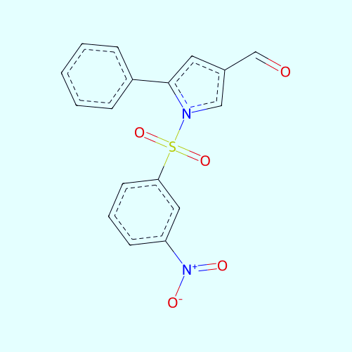 O=Cc1cc(-c2ccccc2)n(S(=O)(=O)c2cccc([N+](=O)[O-])c2)c1